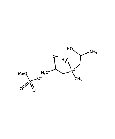 CC(O)C[N+](C)(C)CC(C)O.COS(=O)(=O)[O-]